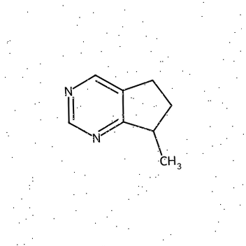 CC1CCc2cncnc21